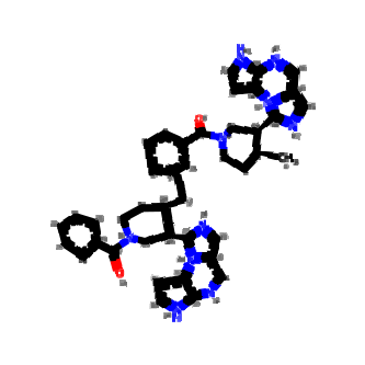 C[C@H]1CCN(C(=O)c2cccc(C[C@@H]3CCN(C(=O)c4ccccc4)C[C@@H]3c3ncc4cnc5[nH]ccc5n34)c2)C[C@H]1c1ncc2cnc3[nH]ccc3n12